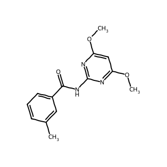 COc1cc(OC)nc(NC(=O)c2cccc(C)c2)n1